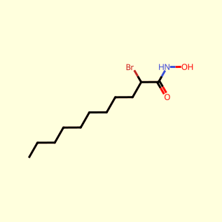 CCCCCCCCCC(Br)C(=O)NO